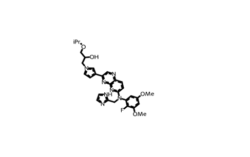 COc1cc(OC)c(F)c(N(Cc2ncc[nH]2)c2ccc3ncc(-c4ccn(CC(O)COC(C)C)c4)nc3n2)c1